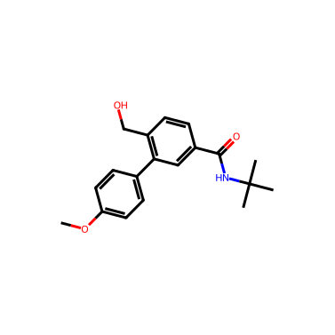 COc1ccc(-c2cc(C(=O)NC(C)(C)C)ccc2CO)cc1